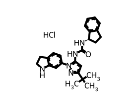 CC(C)(C)c1cc(NC(=O)N[C@H]2CCc3ccccc32)n(-c2ccc3c(c2)NCC3)n1.Cl